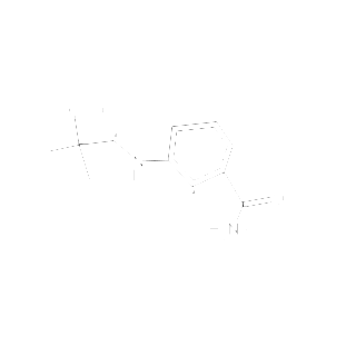 CC(C)(C=O)CNc1cccc(C(N)=O)c1